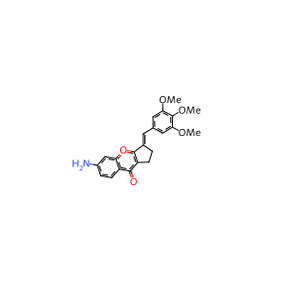 COc1cc(C=C2CCc3c2oc2cc(N)ccc2c3=O)cc(OC)c1OC